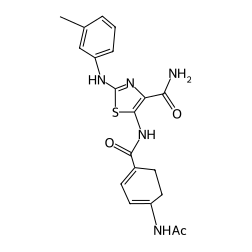 CC(=O)NC1=CC=C(C(=O)Nc2sc(Nc3cccc(C)c3)nc2C(N)=O)CC1